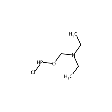 CCN(CC)COPCl